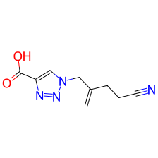 C=C(CCC#N)Cn1cc(C(=O)O)nn1